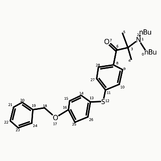 CCCCN(CCCC)C(C)(C)C(=O)c1ccc(Sc2ccc(OCc3ccccc3)cc2)cc1